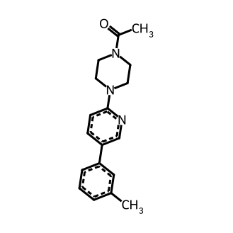 CC(=O)N1CCN(c2ccc(-c3cccc(C)c3)cn2)CC1